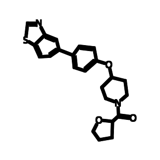 O=C(C1CCCO1)N1CCC(Oc2ccc(-c3ccc4scnc4c3)cc2)CC1